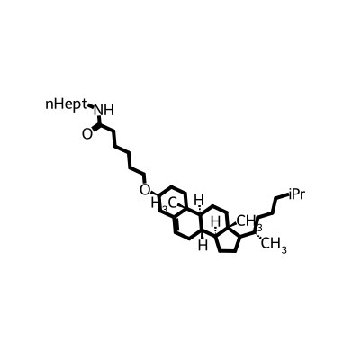 CCCCCCCNC(=O)CCCCCO[C@H]1CC[C@@]2(C)C(=CC[C@@H]3[C@@H]2CC[C@]2(C)C([C@@H](C)CCCC(C)C)CC[C@@H]32)C1